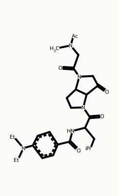 CCN(CC)c1ccc(C(=O)NC(CC(C)C)C(=O)N2CCC3C2C(=O)CN3C(=O)CN(C)C(C)=O)cc1